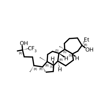 CC[C@@]1(O)CCC[C@@]2(C)[C@@H](CC[C@@H]3[C@@H]2CC[C@]2(C)[C@@H]([C@H](C)CC[C@@](C)(O)C(F)(F)F)CC[C@@H]32)C1